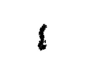 Cc1ccc(C(C)C)c(N2CCS/C2=N\C(=S)N/N=C/c2ccc(-c3ncn(-c4ccc(OC(F)(F)F)cc4)n3)cc2)c1